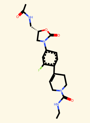 CCNC(=O)N1CC=C(c2ccc(N3C[C@H](CNC(C)=O)OC3=O)cc2F)CC1